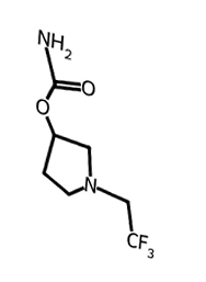 NC(=O)OC1CCN(CC(F)(F)F)C1